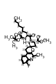 C=CCCCCC[C@H](NC(=O)OC(C)(C)C)C(=O)N1C[C@@]2(CCc3c(c(C)nc4c(F)cccc34)O2)C[C@H]1C(=O)OC